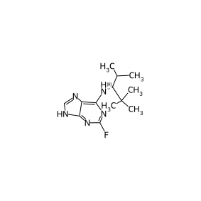 CC(C)[C@@H](Nc1nc(F)nc2[nH]cnc12)C(C)(C)C